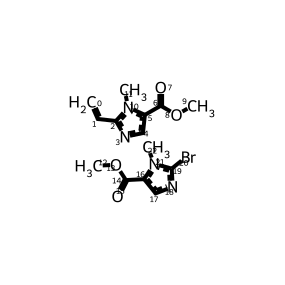 C=Cc1ncc(C(=O)OC)n1C.COC(=O)c1cnc(Br)n1C